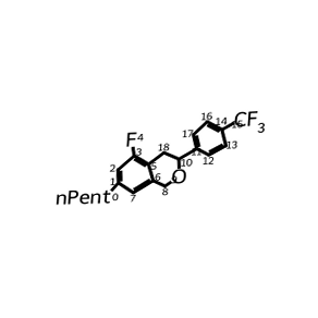 CCCCCc1cc(F)c2c(c1)COC(c1ccc(C(F)(F)F)cc1)C2